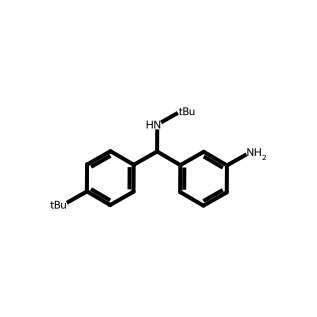 CC(C)(C)NC(c1ccc(C(C)(C)C)cc1)c1cccc(N)c1